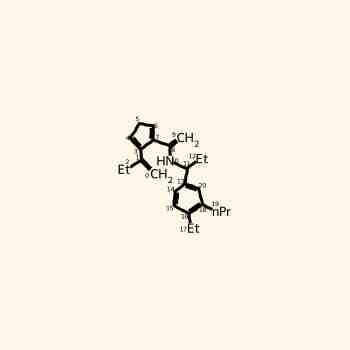 C=C(CC)C1=CCC=C1C(=C)NC(CC)c1ccc(CC)c(CCC)c1